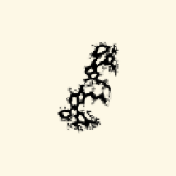 CCCCC1=Cc2c(ccc(-c3ccccc3)c2-c2cc(C(F)(F)F)cc(C(F)(F)F)c2)C1C[SiH2]CC1C(CCCC)=Cc2c1ccc(-c1ccccc1)c2-c1cc(C(F)(F)F)cc(C(F)(F)F)c1